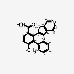 Cc1ccc(C(N)=O)c(-c2cc3cnncc3s2)c1-c1ccccc1